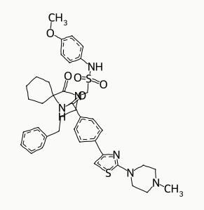 COc1ccc(NS(=O)(=O)CN(CCCc2ccccc2)C(=O)C2(NC(=O)c3ccc(-c4csc(N5CCN(C)CC5)n4)cc3)CCCCC2)cc1